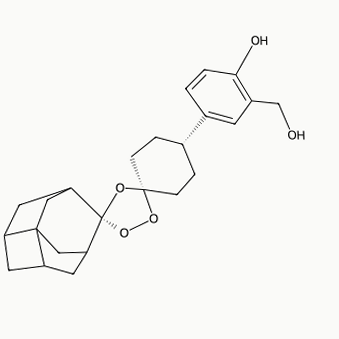 OCc1cc([C@H]2CC[C@]3(CC2)OO[C@]2(O3)C3CC4CC5CC2CC45C3)ccc1O